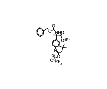 CC(C)OC(=O)C(C)(NC(=O)OCc1ccccc1)c1ccc2c(c1)C(C)(C)CC(OS(=O)(=O)C(F)(F)F)=N2